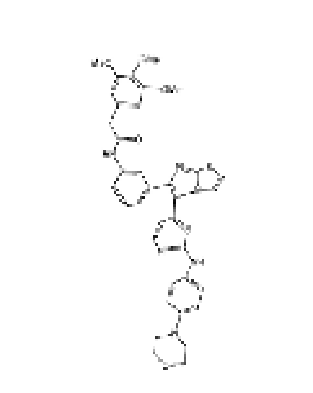 COc1cc(CC(=O)Nc2cccc(-c3nc4sccn4c3-c3ccnc(Nc4ccc(N5CCOCC5)cc4)n3)c2)cc(OC)c1OC